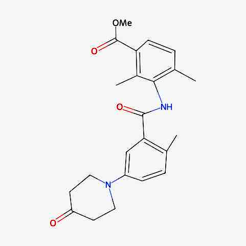 COC(=O)c1ccc(C)c(NC(=O)c2cc(N3CCC(=O)CC3)ccc2C)c1C